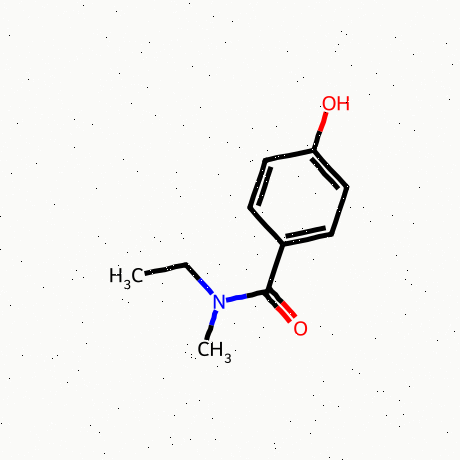 CCN(C)C(=O)c1ccc(O)cc1